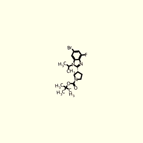 CC(C)n1c([C@@H]2CCN(C(=O)OC(C)(C)C)C2)nc2c(F)cc(Br)cc21